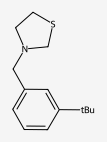 CC(C)(C)c1cccc(CN2CCSC2)c1